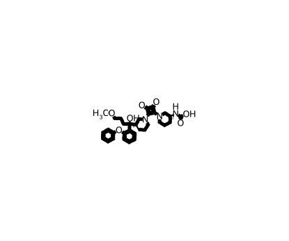 COCCC[C@@](O)(c1ccccc1Oc1ccccc1)[C@@H]1CCCN(c2c(N3CCC[C@H](NC(=O)O)C3)c(=O)c2=O)C1